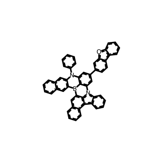 c1ccc(N2c3cc4ccccc4cc3B3c4c2cc(-c2ccc5c(c2)oc2ccccc25)cc4-n2c4ccccc4c4c5ccccc5cc3c42)cc1